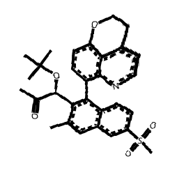 CC(=O)[C@@H](OC(C)(C)C)c1c(C)cc2cc(S(C)(=O)=O)ccc2c1-c1ccc2c3c(ccnc13)CCO2